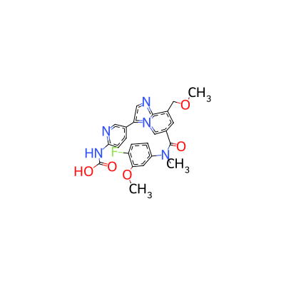 COCc1cc(C(=O)N(C)c2ccc(F)c(OC)c2)cn2c(-c3ccc(NC(=O)O)nc3)cnc12